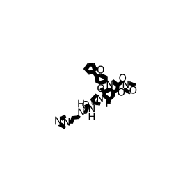 O=C(CNCCCn1ccnc1)N[C@@H]1CCN(c2c(F)cc3c(=O)c(C(=O)N4CCOCC4)cn4c3c2Oc2cc3c(cc2-4)oc2ccccc23)C1